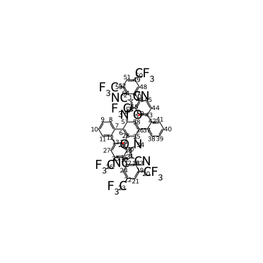 N#CC(C#N)=c1nc2c(-c3ccccc3-c3ccc(-c4cc(C(F)(F)F)cc(C(F)(F)F)c4)c(C(F)(F)F)c3)c3oc(=C(C#N)C#N)nc3c(-c3ccccc3-c3ccc(-c4cc(C(F)(F)F)cc(C(F)(F)F)c4)c(C(F)(F)F)c3)c2o1